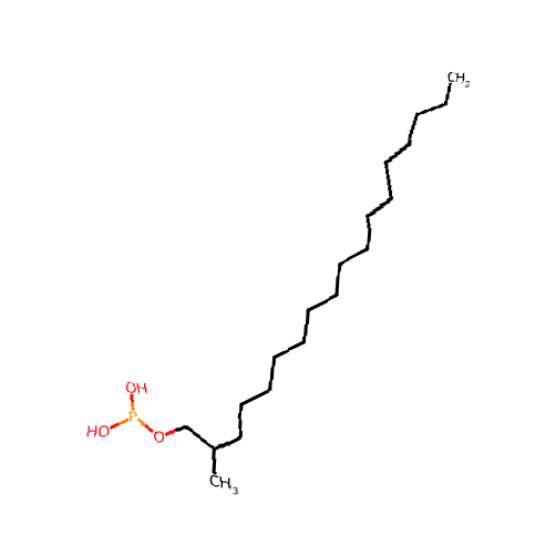 CCCCCCCCCCCCCCCCC(C)COP(O)O